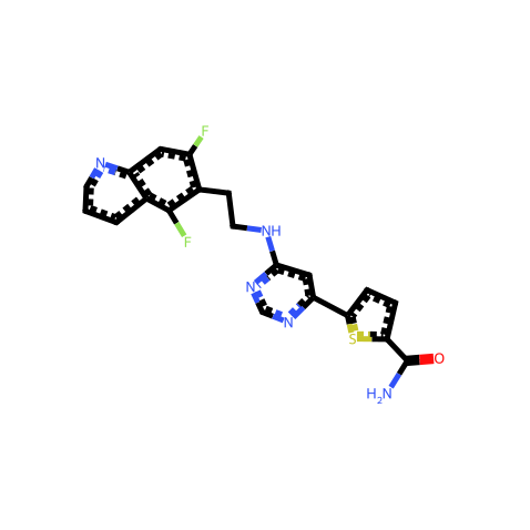 NC(=O)c1ccc(-c2cc(NCCc3c(F)cc4ncccc4c3F)ncn2)s1